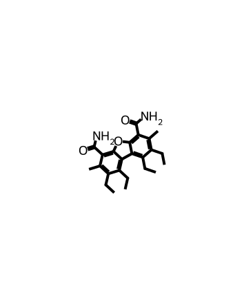 CCc1c(C)c(C(N)=O)c2oc3c(C(N)=O)c(C)c(CC)c(CC)c3c2c1CC